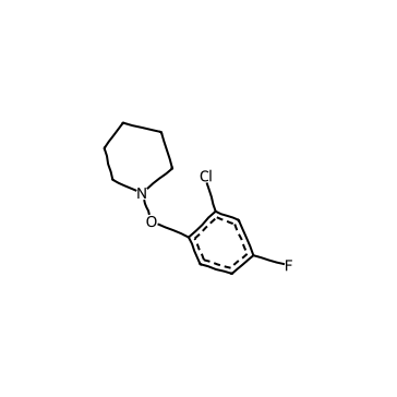 Fc1ccc(ON2CCCCC2)c(Cl)c1